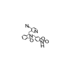 N#Cc1ccncc1CC1c2ccccc2C(=O)N1Cc1ccc2[nH]c(=O)oc2c1